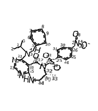 CC(C)N(Cc1ccccc1)c1ncnc2c1[C@H](O)N(S(=O)(=O)c1ccc([N+](=O)[O-])cc1)[C@H](C)CN2